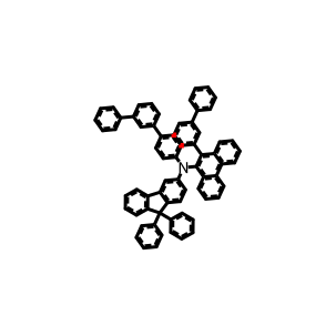 c1ccc(-c2cccc(-c3ccc(N(c4ccc5c(c4)-c4ccccc4C5(c4ccccc4)c4ccccc4)c4c(-c5cccc(-c6ccccc6)c5)c5ccccc5c5ccccc45)cc3)c2)cc1